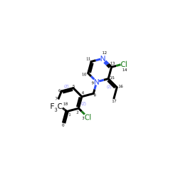 C=C(/C(Cl)=C(\C=C/C)CN1C=CN=C(Cl)/C1=C/C)C(F)(F)F